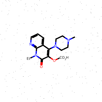 CCn1c(=O)c(OC(=O)O)c(N2CCN(C)CC2)c2cccnc21